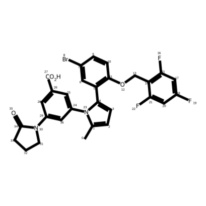 Cc1ccc(-c2cc(Br)ccc2OCc2c(F)cc(F)cc2F)n1-c1cc(C(=O)O)cc(N2CCCC2=O)c1